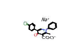 Cc1c(C(=O)[O-])c(=O)c(-c2ccc(Cl)cc2)cn1-c1ccccc1.[Na+]